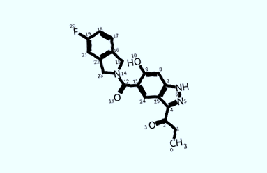 CCC(=O)c1n[nH]c2cc(O)c(C(=O)N3Cc4ccc(F)cc4C3)cc12